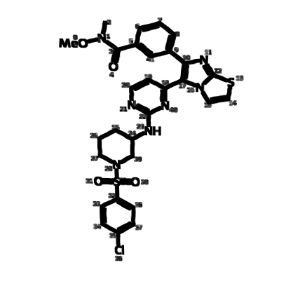 CON(C)C(=O)c1cccc(-c2nc3sccn3c2-c2ccnc(NC3CCCN(S(=O)(=O)c4ccc(Cl)cc4)C3)n2)c1